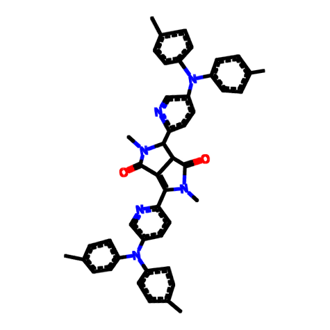 Cc1ccc(N(c2ccc(C)cc2)c2ccc(C3=C4C(=O)N(C)C(c5ccc(N(c6ccc(C)cc6)c6ccc(C)cc6)cn5)C4C(=O)N3C)nc2)cc1